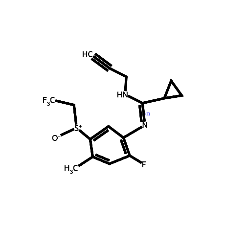 C#CCN/C(=N\c1cc([S+]([O-])CC(F)(F)F)c(C)cc1F)C1CC1